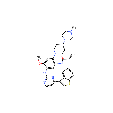 C=CC(=O)Nc1cc(Nc2nccc(-c3csc4ccccc34)n2)c(OC)cc1N1CCC(N2CCN(C)CC2)CC1